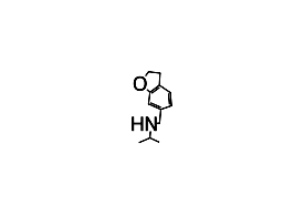 CC(C)NCc1ccc2c(c1)OCC2